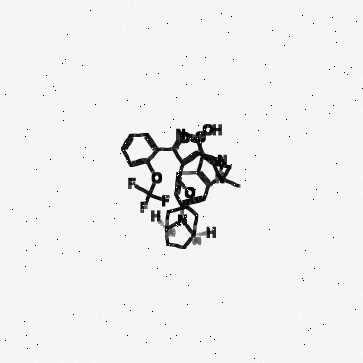 Cn1nc(C(=O)O)c2ccc(N3[C@@H]4CC[C@H]3C[C@H](OCc3c(-c5ccccc5OC(F)(F)F)noc3C3CC3)C4)cc21